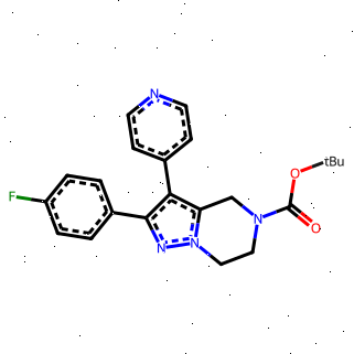 CC(C)(C)OC(=O)N1CCn2nc(-c3ccc(F)cc3)c(-c3ccncc3)c2C1